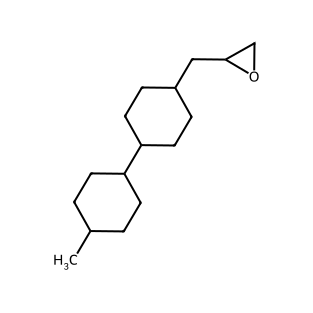 CC1CCC(C2CCC(CC3CO3)CC2)CC1